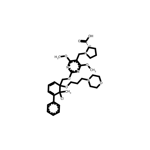 COc1nc(OCC2(OCCCN3CCOCC3)C=CC=C(c3ccccc3)C2(C)Cl)nc(OC)c1CN1CCC[C@H]1C(=O)O